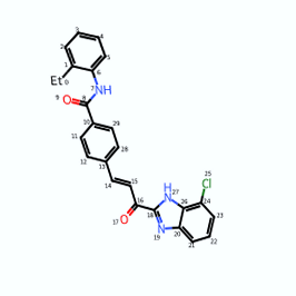 CCc1ccccc1NC(=O)c1ccc(C=CC(=O)c2nc3cccc(Cl)c3[nH]2)cc1